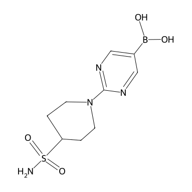 NS(=O)(=O)C1CCN(c2ncc(B(O)O)cn2)CC1